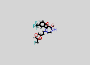 O=C1NCCN(CCC2COCC(CF)O2)c2c1oc1ccc(C(F)(F)F)cc21